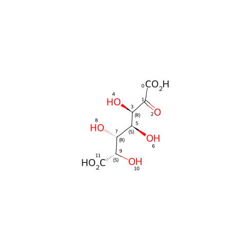 O=C(O)C(=O)[C@H](O)[C@@H](O)[C@@H](O)[C@H](O)C(=O)O